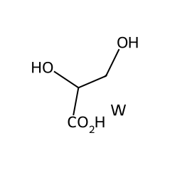 O=C(O)C(O)CO.[W]